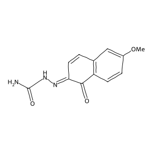 COc1ccc2c(c1)C=CC(=NNC(N)=O)C2=O